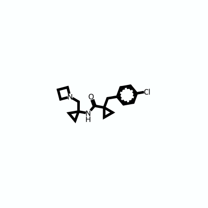 O=C(NC1(CN2CCC2)CC1)C1(Cc2ccc(Cl)cc2)CC1